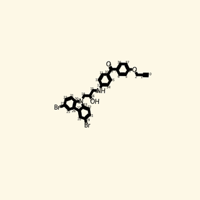 C#CCOc1ccc(C(=O)c2ccc(NCC(O)Cn3c4ccc(Br)cc4c4cc(Br)ccc43)cc2)cc1